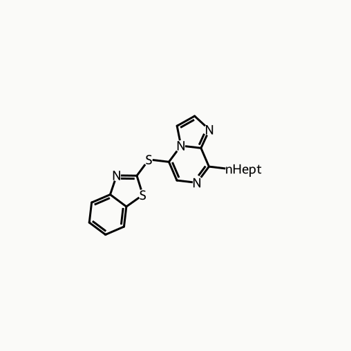 CCCCCCCc1ncc(Sc2nc3ccccc3s2)n2ccnc12